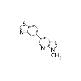 Cn1ccc2cc(-c3ccc4scnc4c3)cnc21